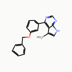 O=C(O)c1c[nH]c2ncnc(-c3cccc(OCc4ccccc4)c3)c12